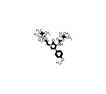 COc1ccc([C@H]2CN(CCO[Si](C)(C)C(C)(C)C)C(=O)[C@@H]2NC(=O)OC(C)(C)C)cc1